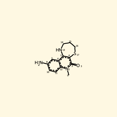 Cn1c(=O)c2c(c3cc(N)ccc31)NCCCS2